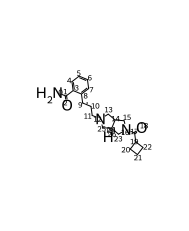 NC(=O)c1ccccc1[CH]CCN1CC2CN(C(=O)C3CCC3)C[C@@H]2C1